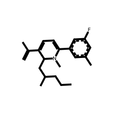 C=C(C)C1=CC=C(c2cc(C)cc(F)c2)N(C)C1CC(C)CCC